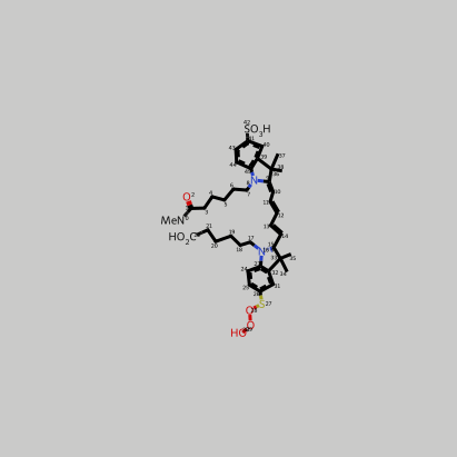 CNC(=O)CCCCCN1C(=CC=CC=CC2=[N+](CCCCCC(=O)O)c3ccc(SOOO)cc3C2(C)C)C(C)(C)c2cc(S(=O)(=O)O)ccc21